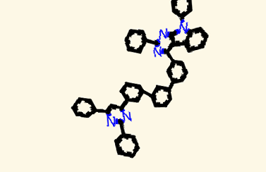 c1ccc(-c2cc(-c3cccc(-c4cccc(-c5cccc(-c6nc(-c7ccccc7)nc7c6c6ccccc6n7-c6ccccc6)c5)c4)c3)nc(-c3ccccc3)n2)cc1